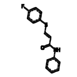 O=C(C=CSc1ccc(F)cc1)Nc1ccccc1